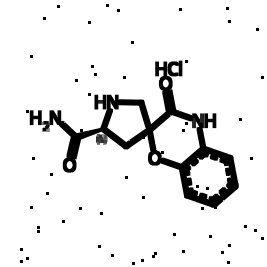 Cl.NC(=O)[C@@H]1CC2(CN1)Oc1ccccc1NC2=O